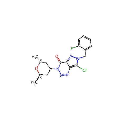 C[C@@H]1CC(n2nnc3c(Cl)n(Cc4ccccc4F)nc3c2=O)C[C@@H](C)O1